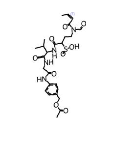 C/C=C\C(=O)N(C=O)CCC(C(=O)NC(C(=O)NCC(=O)Nc1ccc(COC(C)=O)cc1)C(C)C)S(=O)O